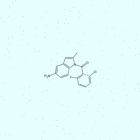 Cc1cc2cc(N)ccc2n1C(=O)c1c(F)cccc1Cl